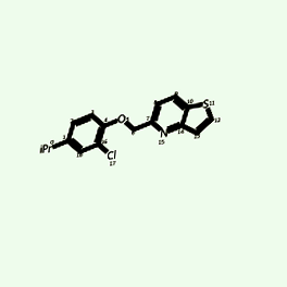 CC(C)c1ccc(OCc2ccc3sccc3n2)c(Cl)c1